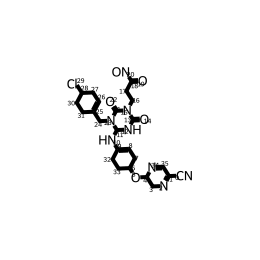 N#CC1=NCC(OC2CC=C(NC3NC(=O)N(CCC(=O)N=O)C(=O)N3CC3=CCC(Cl)CC3)CC2)N=C1